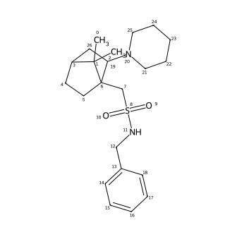 CC1(C)C2CCC1(CS(=O)(=O)NCc1ccccc1)C(N1CCCCC1)C2